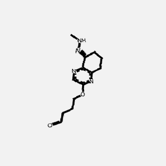 CN/N=C1\CCCc2nc(OCCCC=O)cnc21